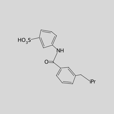 CC(C)Cc1cccc(C(=O)Nc2cccc(S(=O)(=O)O)c2)c1